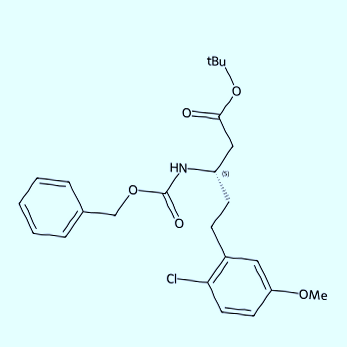 COc1ccc(Cl)c(CC[C@@H](CC(=O)OC(C)(C)C)NC(=O)OCc2ccccc2)c1